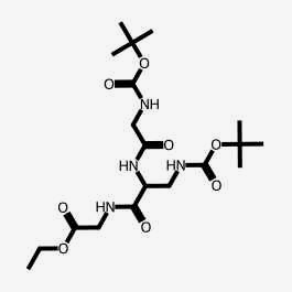 CCOC(=O)CNC(=O)C(CNC(=O)OC(C)(C)C)NC(=O)CNC(=O)OC(C)(C)C